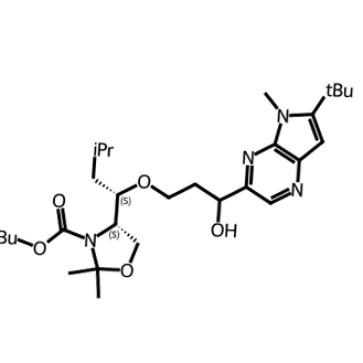 CC(C)C[C@H](OCCC(O)c1cnc2cc(C(C)(C)C)n(C)c2n1)[C@@H]1COC(C)(C)N1C(=O)OC(C)(C)C